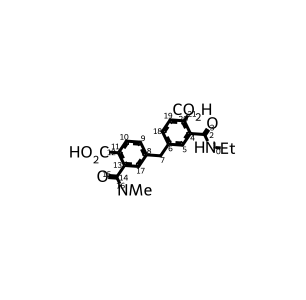 CCNC(=O)c1cc(Cc2ccc(C(=O)O)c(C(=O)NC)c2)ccc1C(=O)O